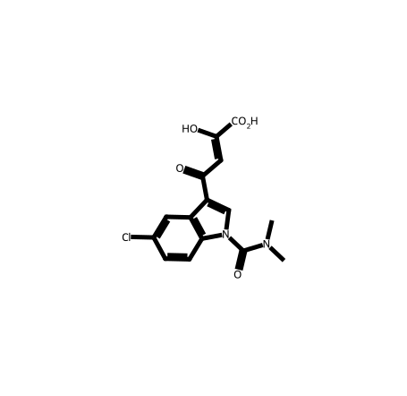 CN(C)C(=O)n1cc(C(=O)C=C(O)C(=O)O)c2cc(Cl)ccc21